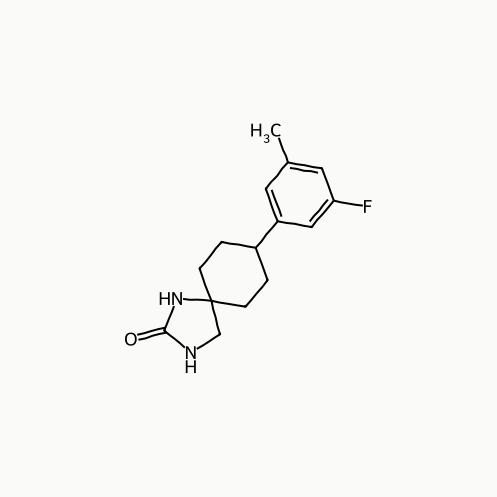 Cc1cc(F)cc(C2CCC3(CC2)CNC(=O)N3)c1